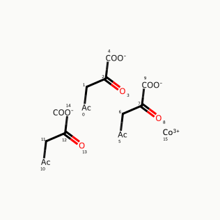 CC(=O)CC(=O)C(=O)[O-].CC(=O)CC(=O)C(=O)[O-].CC(=O)CC(=O)C(=O)[O-].[Co+3]